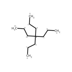 CC[CH]C(CCC)(CCC)CCC